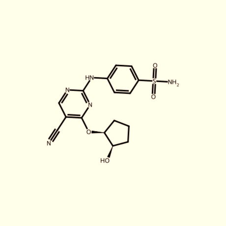 N#Cc1cnc(Nc2ccc(S(N)(=O)=O)cc2)nc1O[C@H]1CCC[C@H]1O